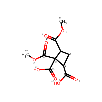 COC(=O)C1CC(C(=O)O)C1(C(=O)O)C(=O)OC